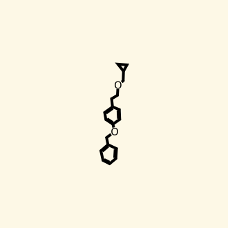 c1ccc(COc2ccc(CCOCC3CC3)cc2)cc1